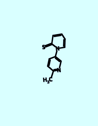 Cc1ccc(-n2ccccc2=S)cn1